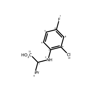 CC(C)C(Nc1ccc(F)cc1Cl)C(=O)O